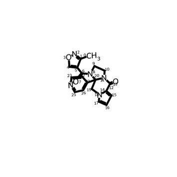 Cc1nocc1C(=O)N1CCN2C(=O)c3cccn3CC12c1ccncc1